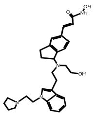 O=C(/C=C/c1ccc2c(c1)CCC2N(CCO)CCc1cn(CCN2CCCC2)c2ccccc12)NO